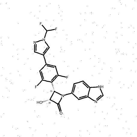 O=C1[C@H](O)[C@H](c2c(F)cc(-c3cnn(C(F)F)c3)cc2F)N1c1ccc2[nH]cnc2c1